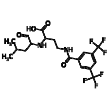 CC(C)CC(C=O)NC(CCNC(=O)c1cc(C(F)(F)F)cc(C(F)(F)F)c1)C(=O)O